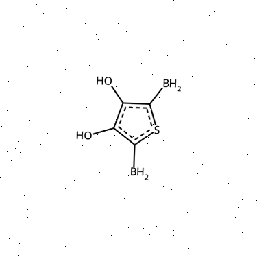 Bc1sc(B)c(O)c1O